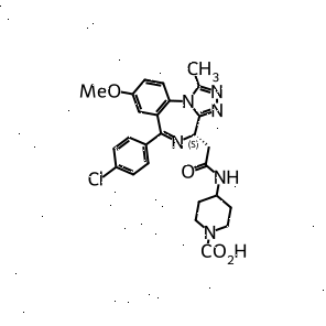 COc1ccc2c(c1)C(c1ccc(Cl)cc1)=N[C@@H](CC(=O)NC1CCN(C(=O)O)CC1)c1nnc(C)n1-2